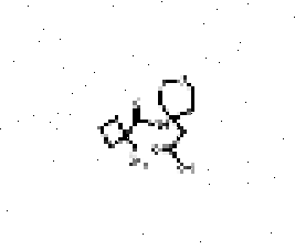 CCC1(C(=O)NC2(CC(=O)O)CCOCC2)CCC1